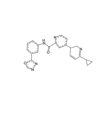 O=C(Nc1cccc(-c2nnco2)c1)c1cc(C2C=CC(C3CC3)=NC2)ccn1